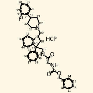 Cl.O=C(CNC(=O)OCc1ccccc1)NCC(CCCN1CCC(c2ccccc2F)CC1)(c1ccccc1)c1ccccc1